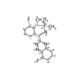 CC1c2c(F)cccc2C(c2nnc3c(F)cccc3n2)=NC1(C)C